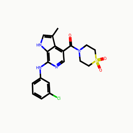 Cc1c[nH]c2c(Nc3cccc(Cl)c3)ncc(C(=O)N3CCS(=O)(=O)CC3)c12